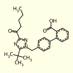 CCCCC(=O)c1nc(C(C)(C)C)n(Cc2ccc(-c3ccccc3C(=O)O)cc2)n1